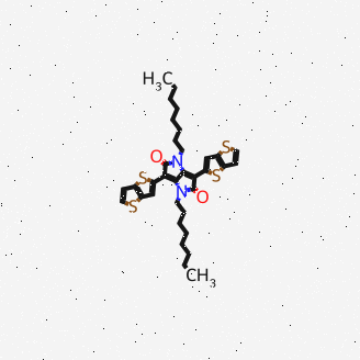 CCCCCCCCN1C(=O)C(c2cc3sccc3s2)=C2C1=C(c1cc3sccc3s1)C(=O)N2CCCCCCCC